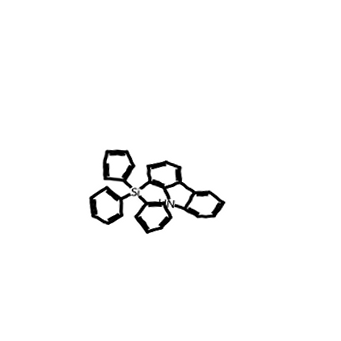 c1ccc([Si](c2ccccc2)(c2ccccc2)c2cccc3c2[nH]c2ccccc23)cc1